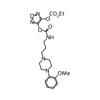 CCOC(=O)Oc1nonc1OC(=O)NCCCN1CCN(c2ccccc2OC)CC1